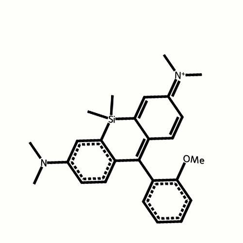 COc1ccccc1C1=C2C=CC(=[N+](C)C)C=C2[Si](C)(C)c2cc(N(C)C)ccc21